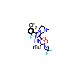 CN1CCCn2c(-c3cc(C(F)(F)F)ccc3F)nc(C(=O)NC(C(=O)N3CC(F)(F)C3)C(C)(C)C)c2C1